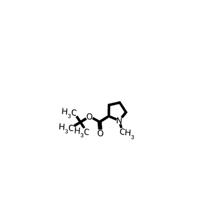 CN1CCCC1C(=O)OC(C)(C)C